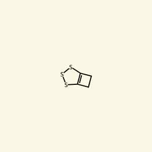 C1CC2=C1SSS2